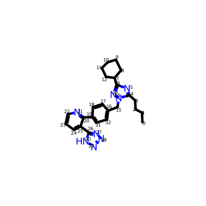 CCCCc1nc(C2CCCCC2)nn1Cc1ccc(-c2ncccc2-c2nnn[nH]2)cc1